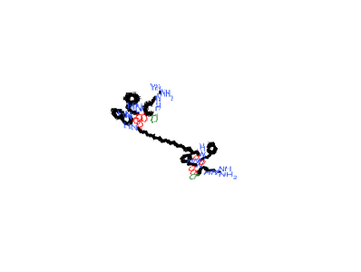 N=C(N)NCCCC(NC(=O)C(Cc1ccccc1)NC(=O)C(Cc1ccccc1)NC(=O)CCCCCCCCCCCCCCCCC(=O)NC(Cc1ccccc1)C(=O)NC(Cc1ccccc1)C(=O)NC(CCCNC(=N)N)C(=O)CCl)C(=O)CCl